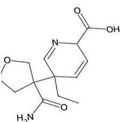 CCC1(C2(C(N)=O)CCOC2)C=CC(C(=O)O)N=C1